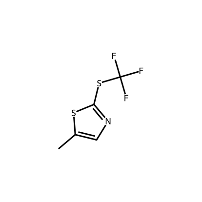 Cc1cnc(SC(F)(F)F)s1